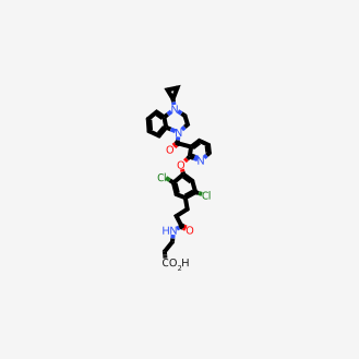 O=C(O)CCNC(=O)CCc1cc(Cl)c(Oc2ncccc2C(=O)N2CCN(C3CC3)c3ccccc32)cc1Cl